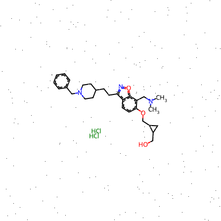 CN(C)Cc1c(OCC2CC2CO)ccc2c(CCC3CCN(Cc4ccccc4)CC3)noc12.Cl.Cl